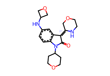 O=C1/C(=C2/COCCN2)c2cc(NC3COC3)ccc2N1C1CCOCC1